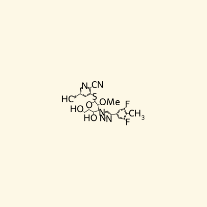 C#Cc1cnc(C#N)c(SC2OC(CO)C(O)C(n3cc(-c4cc(F)c(C)c(F)c4)nn3)C2OC)c1